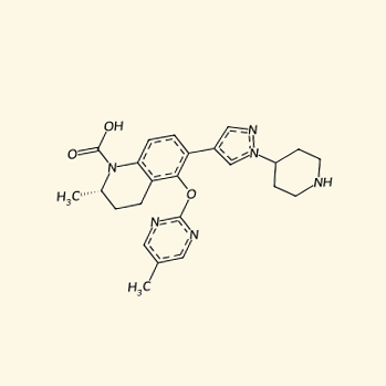 Cc1cnc(Oc2c(-c3cnn(C4CCNCC4)c3)ccc3c2CC[C@H](C)N3C(=O)O)nc1